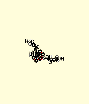 CP(c1ccccc1)(c1ccccc1)(c1ccccc1)C(CCCOCC(O)COC(=O)c1ccc(S(=O)(=O)O)cc1)(OCC(O)COC(=O)c1ccc(S(=O)(=O)O)cc1)P(C)(c1ccccc1)(c1ccccc1)c1ccccc1